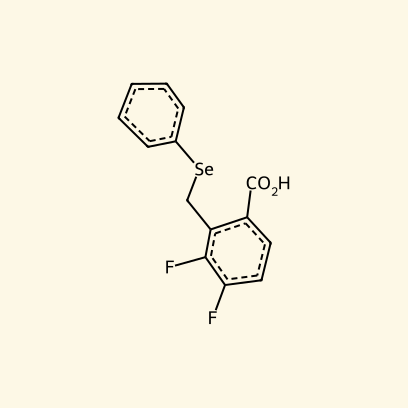 O=C(O)c1ccc(F)c(F)c1C[Se]c1ccccc1